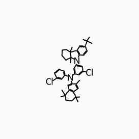 Cc1cc2c(cc1N(c1cccc(Cl)c1)c1cc(Cl)cc(N3c4ccc(C(C)(C)C)cc4C4(C)CCCCC34C)c1)C(C)(C)CCC2(C)C